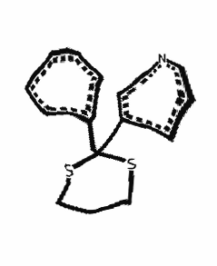 c1ccc(C2(c3cccnc3)SCCCS2)cc1